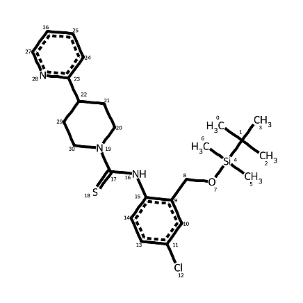 CC(C)(C)[Si](C)(C)OCc1cc(Cl)ccc1NC(=S)N1CCC(c2ccccn2)CC1